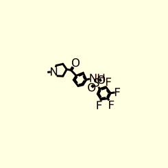 CN1CCC(C(=O)c2cccc(NS(=O)(=O)c3cc(F)c(F)c(F)c3F)c2)CC1